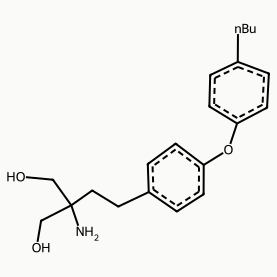 CCCCc1ccc(Oc2ccc(CCC(N)(CO)CO)cc2)cc1